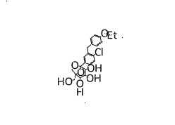 CCOc1ccc(Cc2cc(C34OCC(CO)(O3)C(O)C(O)C4O)ccc2Cl)cc1